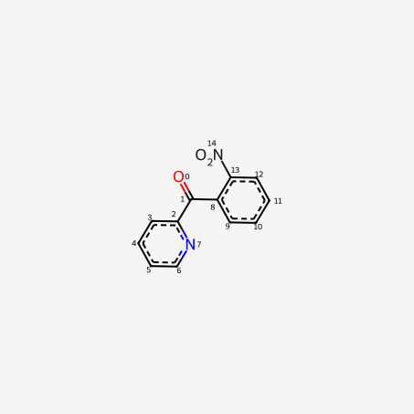 O=C(c1ccccn1)c1ccccc1[N+](=O)[O-]